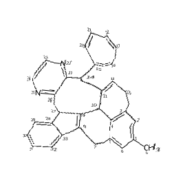 Cc1cc2c3c(c1)CC1=C4C3C(=CC2)C(c2ccccc2)c2nccnc2C4c2ccccc21